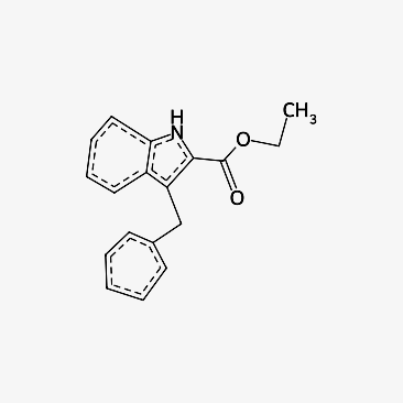 CCOC(=O)c1[nH]c2ccccc2c1Cc1ccccc1